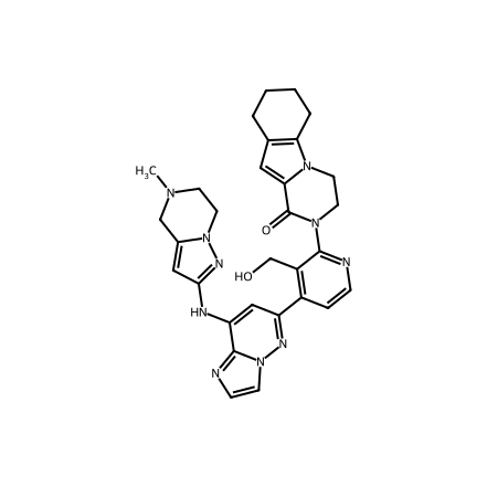 CN1CCn2nc(Nc3cc(-c4ccnc(N5CCn6c(cc7c6CCCC7)C5=O)c4CO)nn4ccnc34)cc2C1